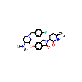 C=C1CCC(N2Cc3cc(O[C@H]4CN(Cc5ccc(F)cc5)CC[C@@H]4N(CC)CC)ccc3C2=O)C(=O)N1